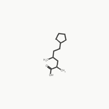 CC(CCC1CCCC1)CC(C)C(=O)O